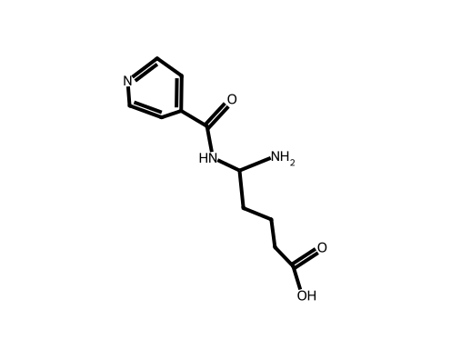 NC(CCCC(=O)O)NC(=O)c1ccncc1